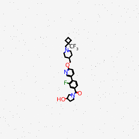 O=C(c1ccc(-c2ccc(OCC3CCN(CC4(C(F)(F)F)CCC4)CC3)nc2)c(F)c1)N1CCC(O)C1